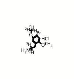 Cl.[2H]C([2H])(N)Cc1cc(OC([2H])([2H])[2H])c(Br)cc1OC